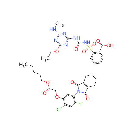 CCCCCOC(=O)COc1cc(N2C(=O)C3=C(CCCC3)C2=O)c(F)cc1Cl.CCOc1nc(NC)nc(NC(=O)NS(=O)(=O)c2ccccc2C(=O)O)n1